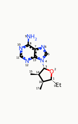 CC[C@H]1O[C@@H](n2cnc3c(N)ncnc32)[C@H](C)[C@@H]1C